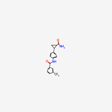 NC(=O)C1CC1c1ccc(NC(=O)c2cccc(C(F)(F)F)c2)cc1